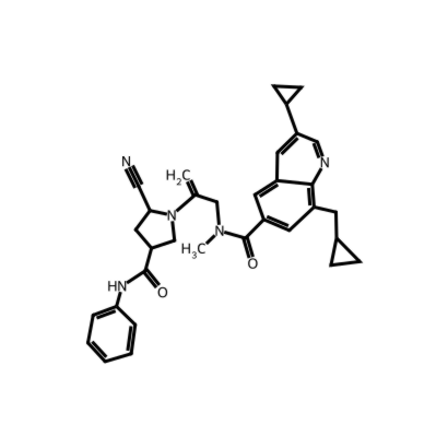 C=C(CN(C)C(=O)c1cc(CC2CC2)c2ncc(C3CC3)cc2c1)N1CC(C(=O)Nc2ccccc2)CC1C#N